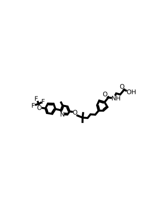 Cc1cc(OCC(C)(C)CCCc2ccc(C(=O)NCCC(=O)O)cc2)cnc1-c1ccc(OC(F)(F)F)cc1